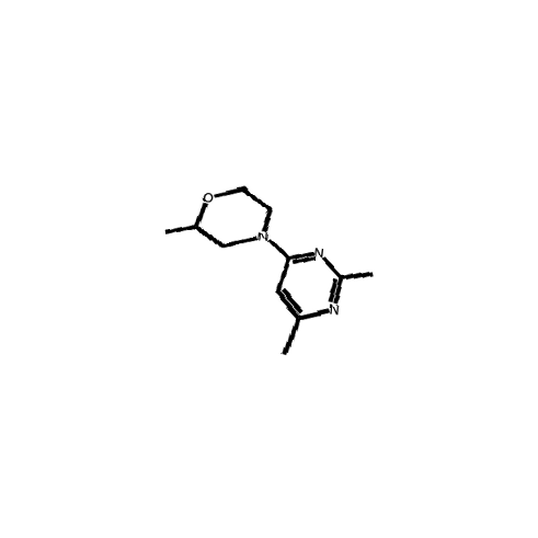 Cc1cc(N2CCOC(C)C2)nc(C)n1